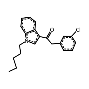 CCCCCn1cc(C(=O)Cc2cccc(Cl)c2)c2ccccc21